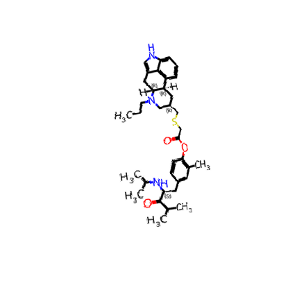 CCCN1C[C@H](CSCC(=O)Oc2ccc(C[C@H](NC(C)C)C(=O)C(C)C)cc2C)C[C@@H]2c3cccc4[nH]cc(c34)C[C@H]21